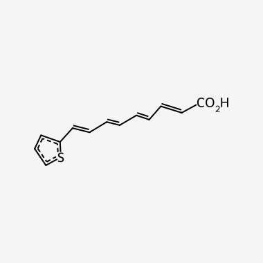 O=C(O)C=CC=CC=CC=Cc1cccs1